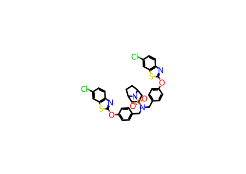 CS(=O)(=O)N1C2CCC1CC(N(Cc1ccc(Oc3nc4ccc(Cl)cc4s3)cc1)Cc1ccc(Oc3nc4ccc(Cl)cc4s3)cc1)C2